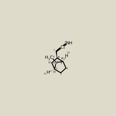 CN1[C@H]2CC[C@@H]1[C@H](C=C=N)C2